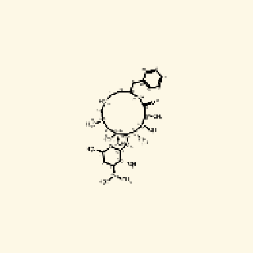 CC1CC(N(C)C)[C@@H](O)[C@H](O[C@@H]2[C@@H](C)[C@H](O)C(C)C(=O)NC(Cc3ccccc3)CCNC[C@H](C)C[C@@]2(C)O)O1